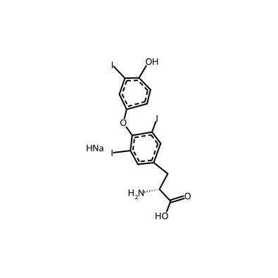 N[C@H](Cc1cc(I)c(Oc2ccc(O)c(I)c2)c(I)c1)C(=O)O.[NaH]